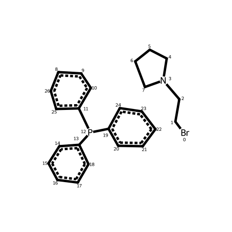 BrCCN1CCCC1.c1ccc(P(c2ccccc2)c2ccccc2)cc1